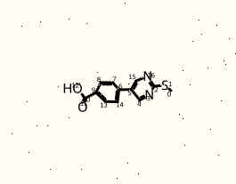 CSc1ncc(-c2ccc(C(=O)O)cc2)cn1